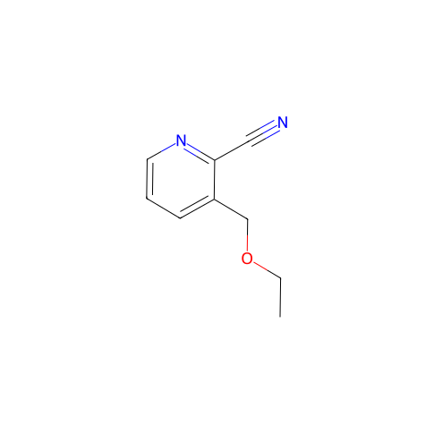 CCOCc1cccnc1C#N